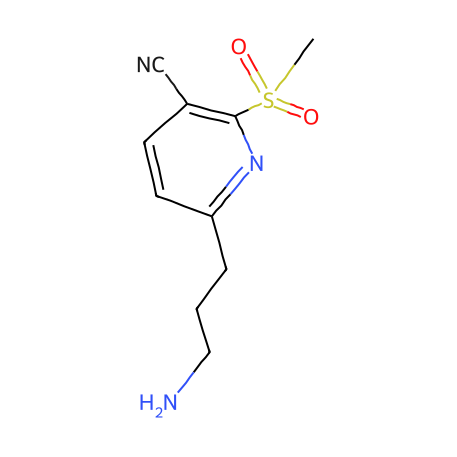 CS(=O)(=O)c1nc(CCCN)ccc1C#N